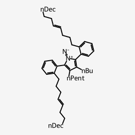 CCCCCCCCCCCCC=CCCCc1ccccc1C1=C(CCCC)C(CCCCC)=C(c2ccccc2CCCC=CCCCCCCCCCCCC)[N+]1=[N-]